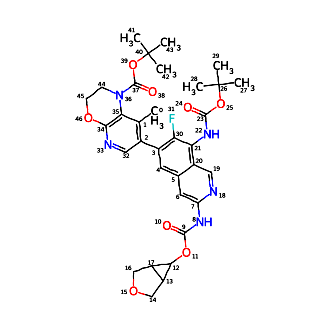 Cc1c(-c2cc3cc(NC(=O)OC4C5COCC54)ncc3c(NC(=O)OC(C)(C)C)c2F)cnc2c1N(C(=O)OC(C)(C)C)CCO2